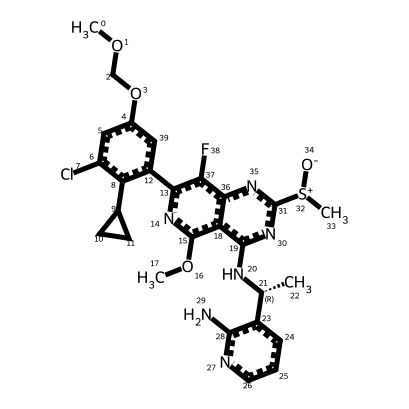 COCOc1cc(Cl)c(C2CC2)c(-c2nc(OC)c3c(N[C@H](C)c4cccnc4N)nc([S+](C)[O-])nc3c2F)c1